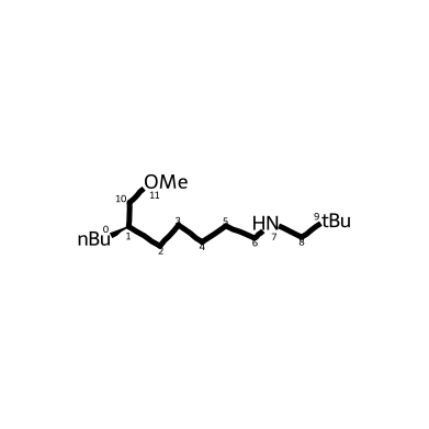 CCCC[C@H](CCCCCNCC(C)(C)C)COC